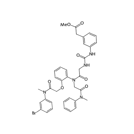 COC(=O)Cc1cccc(NC(=O)NCC(=O)N(CC(=O)N(C)c2ccccc2)c2ccccc2OCC(=O)N(C)c2cccc(Br)c2)c1